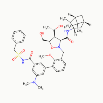 COc1c(CN2O[C@@H](CO)[C@@H]([C@H](C)O)[C@H]2C(=O)N[C@H]2C[C@H]3C[C@@H]([C@@H]2C)C3(C)C)cccc1-c1cc(C(=O)NS(=O)(=O)Cc2ccccc2)cc(N(C)C)c1